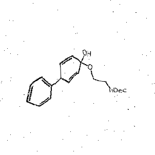 CCCCCCCCCCCCOC1(O)C=CC(c2ccccc2)C=C1